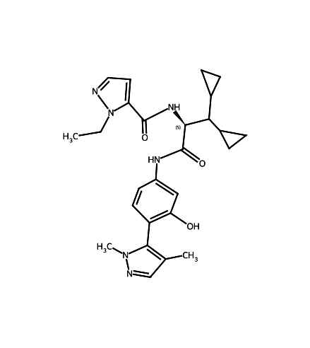 CCn1nccc1C(=O)N[C@H](C(=O)Nc1ccc(-c2c(C)cnn2C)c(O)c1)C(C1CC1)C1CC1